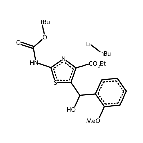 CCOC(=O)c1nc(NC(=O)OC(C)(C)C)sc1C(O)c1ccccc1OC.[Li][CH2]CCC